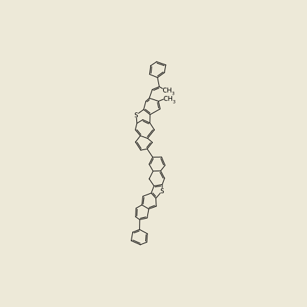 C/C(=C\c1cc2c(cc1C)C1=CC(C=c3ccc(C4=CC5Cc6c(sc7cc8cc(-c9ccccc9)ccc8cc67)C=C5C=C4)cc3=C1)S2)c1ccccc1